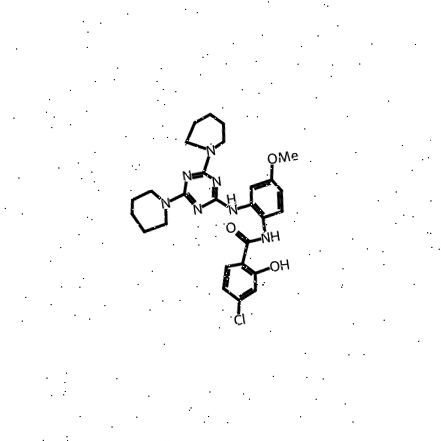 COc1ccc(NC(=O)c2ccc(Cl)cc2O)c(Nc2nc(N3CCCCC3)nc(N3CCCCC3)n2)c1